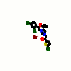 CCCCOC(C[n+]1ccn(CC(=O)c2ccc(Cl)s2)c1)c1ccc(Cl)cc1Cl.[Br-]